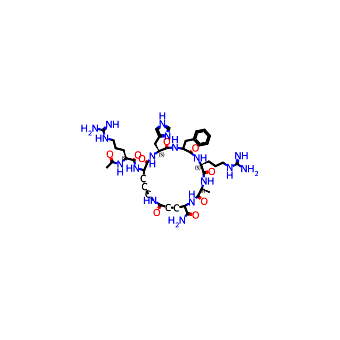 CC(=O)N[C@@H](CCCNC(=N)N)C(=O)NC1CCCNC(=O)CCC(C(N)=O)NC(=O)[C@H](C)NC(=O)[C@H](CCCNC(=N)N)NC(=O)C(Cc2ccccc2)NC(=O)[C@H](Cc2c[nH]cn2)NC1=O